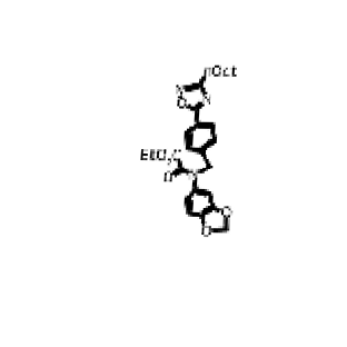 CCCCCCCCc1noc(-c2ccc(CN(C(=O)C(=O)OCC)c3ccc4c(c3)OCO4)cc2)n1